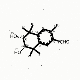 CC1(C)c2cc(C=O)c(Br)cc2C(C)(C)[C@@H](O)[C@H]1O